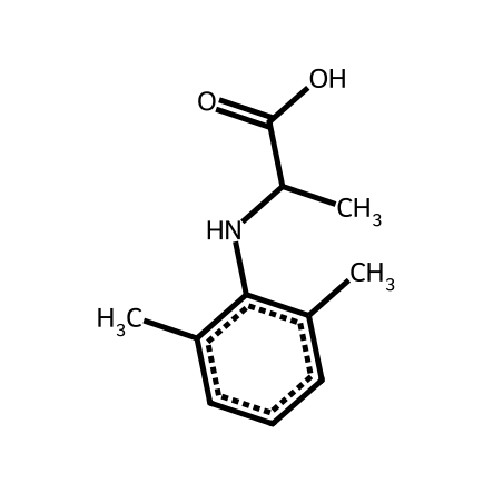 Cc1cccc(C)c1NC(C)C(=O)O